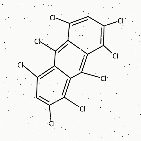 Clc1[c]c(Cl)c2c(Cl)c3c(Cl)[c]c(Cl)c(Cl)c3c(Cl)c2c1Cl